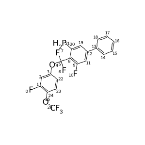 Fc1cc(OC(F)(F)c2c(F)cc(-c3ccccc3)cc2P)ccc1OC(F)(F)F